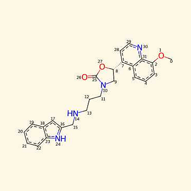 COc1cccc2c([C@@H]3CN(CCCNCc4cc5ccccc5[nH]4)C(=O)O3)ccnc12